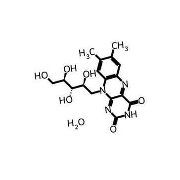 Cc1cc2nc3c(=O)[nH]c(=O)nc-3n(C[C@H](O)[C@H](O)[C@H](O)CO)c2cc1C.O